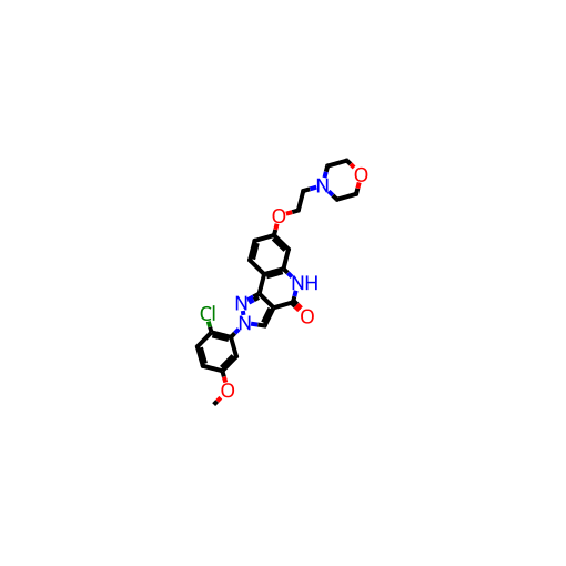 COc1ccc(Cl)c(-n2cc3c(=O)[nH]c4cc(OCCN5CCOCC5)ccc4c3n2)c1